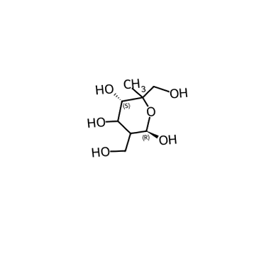 CC1(CO)O[C@@H](O)C(CO)C(O)[C@@H]1O